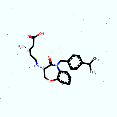 CC(C)c1ccc(CN2C(=O)[C@@H](NCC[C@H](C)CC(=O)O)COc3ccccc32)cc1